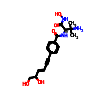 CC(C)(N)[C@H](NC(=O)c1ccc(C#CC=CC(O)CO)cc1)C(=O)NO